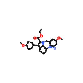 CCOC(=O)c1c(-c2ccc(OC)cc2)c2cccc(N)c2n1Cc1cccc(OC)c1